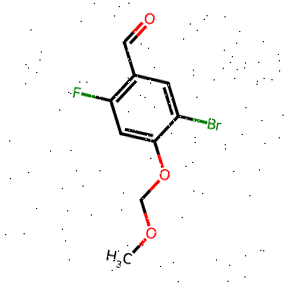 COCOc1cc(F)c(C=O)cc1Br